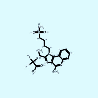 CCc1nc2c(N)nc3ccccc3c2n1CCCCS(N)(=O)=O.O=C(O)C(F)(F)F